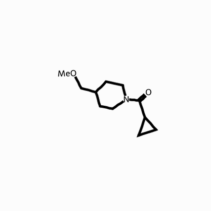 COCC1CCN(C(=O)C2CC2)CC1